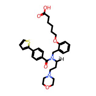 [2H]C(CCN1CCOCC1)N(Cc1ccccc1OCCCCCC(=O)O)C(=O)c1ccc(-c2cccs2)cc1